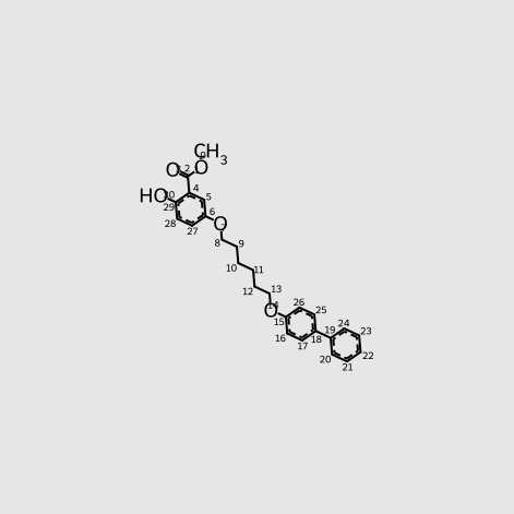 COC(=O)c1cc(OCCCCCCOc2ccc(-c3ccccc3)cc2)ccc1O